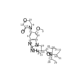 COc1cc2c(cc1N1CCOCC1=O)nc(N)n2CC1(CO[Si](C(C)C)(C(C)C)C(C)C)CC1